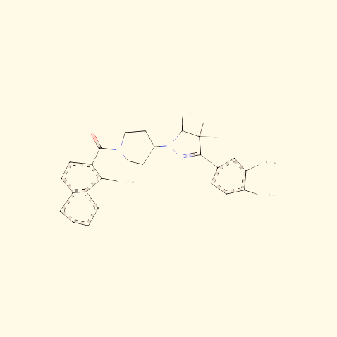 COc1ccc(C2=NN(C3CCN(C(=O)c4ccc5ccccc5c4OC)CC3)C(C=O)C2(C)C)cc1OC